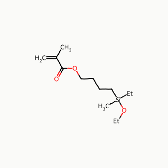 C=C(C)C(=O)OCCCC[Si](C)(CC)OCC